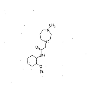 CCOC1CCCCC1NC(=O)CN1CCCN(C)CC1